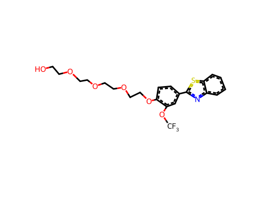 OCCOCCOCCOCCOc1ccc(-c2nc3ccccc3s2)cc1OC(F)(F)F